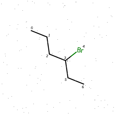 CCC[C](Br)CC